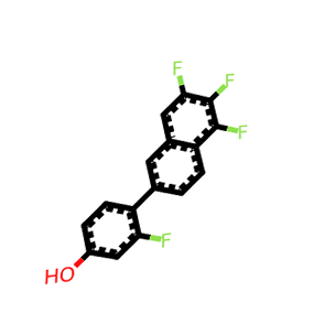 Oc1ccc(-c2ccc3c(F)c(F)c(F)cc3c2)c(F)c1